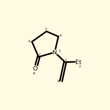 C=C(CC)N1CCCC1=O